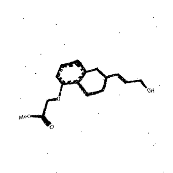 COC(=O)COc1cccc2c1CCC(C=CCO)C2